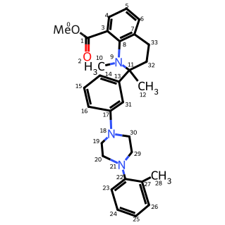 COC(=O)c1cccc2c1N(C)C(C)(c1cccc(N3CCN(c4ccccc4C)CC3)c1)CC2